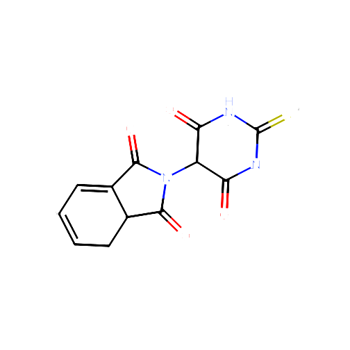 O=C1NC(=S)NC(=O)C1N1C(=O)C2=CC=CCC2C1=O